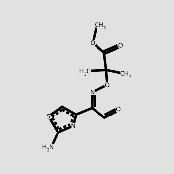 COC(=O)C(C)(C)ON=C([C]=O)c1csc(N)n1